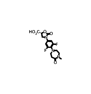 CN1CCN(c2c(F)cc(N3C[C@H](C(=O)O)OC3=O)cc2F)CCC1=O